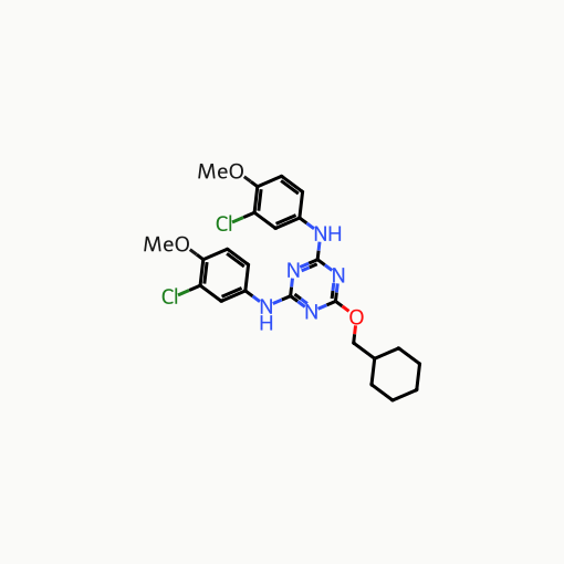 COc1ccc(Nc2nc(Nc3ccc(OC)c(Cl)c3)nc(OCC3CCCCC3)n2)cc1Cl